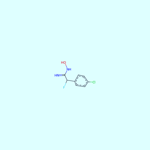 N=C(NO)C(F)c1ccc(Cl)cc1